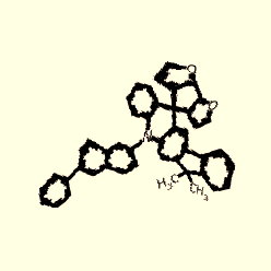 CC1(C)c2ccccc2-c2cc3c(cc21)N(c1ccc2cc(-c4ccccc4)ccc2c1)c1ccccc1C31c2ccoc2-c2occc21